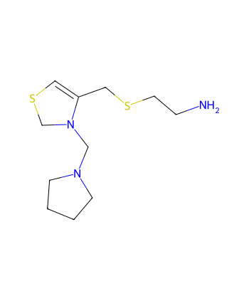 NCCSCC1=CSCN1CN1CCCC1